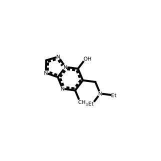 CCN(CC)Cc1c(C)nc2ncnn2c1O